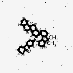 CC1(C)c2ccccc2-c2c(N(c3ccc4c(c3)oc3ccccc34)c3ccc4ccc5c6ccccc6ccc5c4c3)cccc21